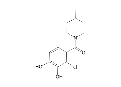 CC1CCN(C(=O)c2ccc(O)c(O)c2Cl)CC1